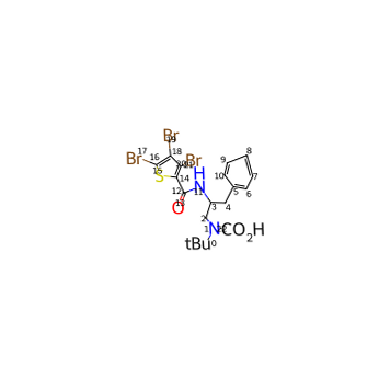 CC(C)(C)N(CC(Cc1ccccc1)NC(=O)c1sc(Br)c(Br)c1Br)C(=O)O